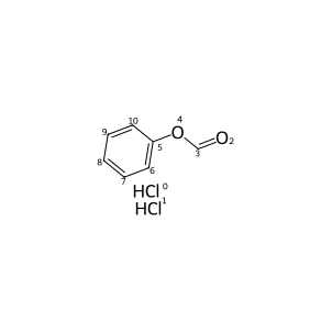 Cl.Cl.O=COc1ccccc1